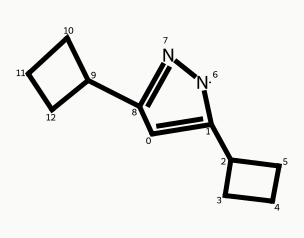 C1=C(C2CCC2)[N]N=C1C1CCC1